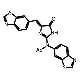 CC(=O)N(C1=N/C(=C\c2ccc3ncsc3c2)C(=O)N1)c1ccc2ncsc2c1